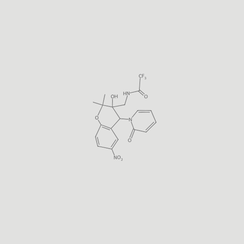 CC1(C)Oc2ccc([N+](=O)[O-])cc2C(n2ccccc2=O)C1(O)CNC(=O)C(F)(F)F